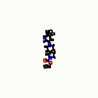 CC(C)(C)OC(=O)N1CCC2(CCN(c3ccc([N+](=O)[O-])nc3)CC2)C1